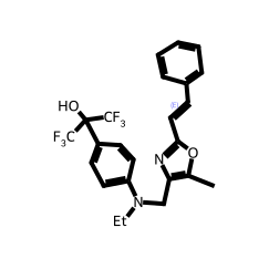 CCN(Cc1nc(/C=C/c2ccccc2)oc1C)c1ccc(C(O)(C(F)(F)F)C(F)(F)F)cc1